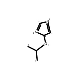 CC(C)OC1C=NC=N1